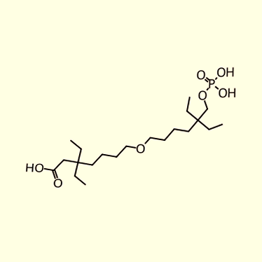 CCC(CC)(CCCCOCCCCC(CC)(CC)CC(=O)O)COP(=O)(O)O